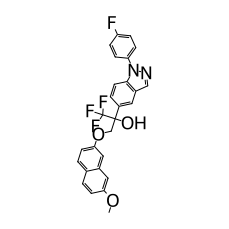 COc1ccc2ccc(OCC(O)(c3ccc4c(cnn4-c4ccc(F)cc4)c3)C(F)(F)F)cc2c1